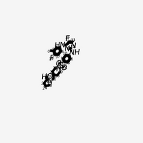 Cc1cc(Nc2nc(Nc3ccc(S(=O)(=O)N4CCC(O)(CN5CCCC5C)CC4)cc3)ncc2F)ccc1F